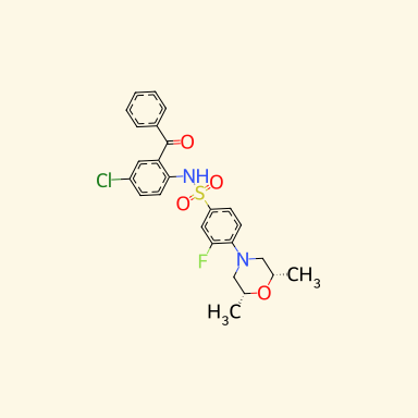 C[C@@H]1CN(c2ccc(S(=O)(=O)Nc3ccc(Cl)cc3C(=O)c3ccccc3)cc2F)C[C@H](C)O1